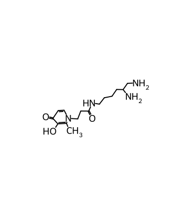 Cc1c(O)c(=O)ccn1CCC(=O)NCCCCC(N)CN